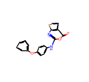 O=c1oc(Nc2ccc(Oc3ccccc3)cc2)nc2sccc12